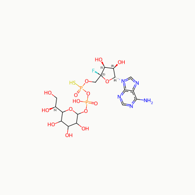 Nc1ncnc2c1ncn2[C@@H]1O[C@](F)(COP(=O)(S)OP(=O)(O)OC2OC([C@@H](O)CO)C(O)C(O)C2O)[C@@H](O)[C@H]1O